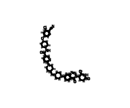 N#Cc1ccc(O[C@H]2CC[C@H](NC(=O)c3ccc(N4CCC(CN5CCN(c6ccc7c(=O)n(C8CCC(=O)NC8=O)nnc7c6)CC5)CC4)nc3)CC2)cc1Cl